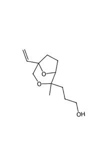 C=CC12CCC(O1)C(C)(CCCO)OC2